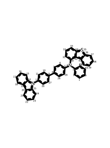 c1ccc(N(c2ccc(-c3ccc(-n4c5ccccc5c5ccccc54)cc3)cc2)c2cccc3sc4ccccc4c23)cc1